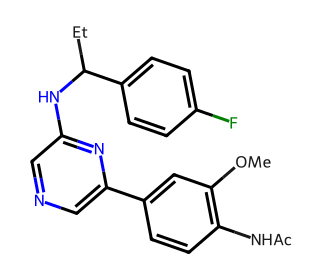 CCC(Nc1cncc(-c2ccc(NC(C)=O)c(OC)c2)n1)c1ccc(F)cc1